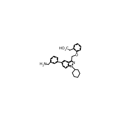 NCc1cccc(-c2ccc3c(c2)c(COc2ccccc2CC(=O)O)nn3C2CCCCC2)c1